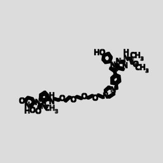 COC[C@@H](C)Nc1ncc2c(-c3ccc(CN4CCN(CCOCCOCCOCCOCCNc5cccc6c5n(C)c(=O)n6C5CCC(=O)NC5=O)CC4)cc3)cn([C@H]3CC[C@H](O)CC3)c2n1